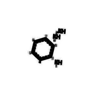 [KH].[KH].[KH].c1ccccc1